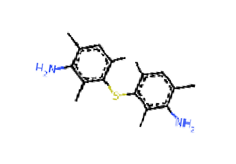 Cc1cc(C)c(Sc2c(C)cc(C)c(N)c2C)c(C)c1N